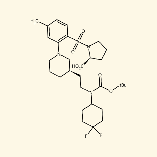 Cc1ccc(S(=O)(=O)N2CCC[C@H]2C(=O)O)c(N2CCC[C@H](CCN(C(=O)OC(C)(C)C)C3CCC(F)(F)CC3)C2)c1